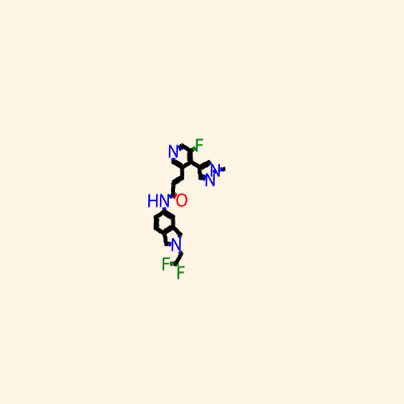 Cn1cc(-c2c(F)cncc2C=CC(=O)Nc2ccc3c(c2)CN(CC(F)F)C3)cn1